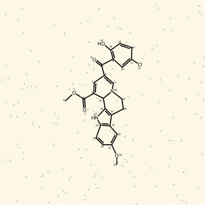 COC(=O)C1=CC(C(=O)c2cc(Cl)ccc2O)=CN2CCc3c([nH]c4ccc(OC)cc34)C12